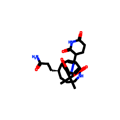 NC(=O)CC[C@H]1CCCNc2ccc1c1c2C(=O)N(C2CCC(=O)NC2=O)C1=O